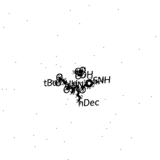 CCCCCCCCCCCCCCN1C(=NC(=O)c2ccc(SC=N)cc2)SC(C(=O)NCCC(=O)OC(C)(C)C)C1C.COS(=O)(=O)O